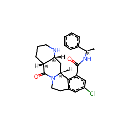 C[C@@H](NC(=O)c1cc(Cl)cc2c1[C@H]1C[C@H]3NCCC[C@H]3C(=O)N1CC2)c1ccccc1